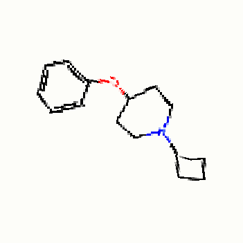 [c]1ccccc1OC1CCN(C2CCC2)CC1